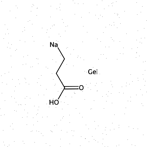 O=C(O)C[CH2][Na].[Ge]